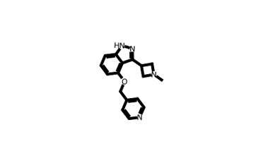 CN1CC(c2n[nH]c3cccc(OCc4ccncc4)c23)C1